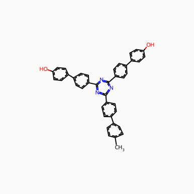 Cc1ccc(-c2ccc(-c3nc(-c4ccc(-c5ccc(O)cc5)cc4)nc(-c4ccc(-c5ccc(O)cc5)cc4)n3)cc2)cc1